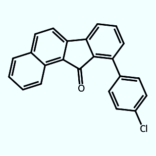 O=C1c2c(-c3ccc(Cl)cc3)cccc2-c2ccc3ccccc3c21